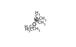 Cc1nn(-c2ccc(C(C)(C)C)cc2)c(C)c1C